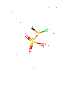 CP(Cl)S(=O)(=O)O